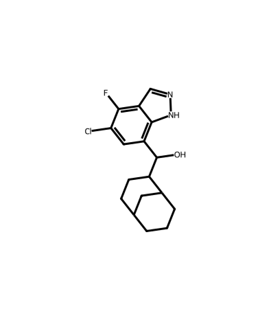 OC(c1cc(Cl)c(F)c2cn[nH]c12)C1CCC2CCCC1C2